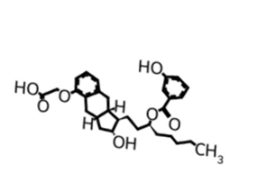 CCCCC[C@@H](CC[C@@H]1[C@H]2Cc3cccc(OCC(=O)O)c3C[C@H]2C[C@H]1O)OC(=O)c1cccc(O)c1